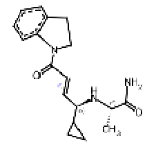 C[C@H](N[C@H](/C=C/C(=O)N1CCc2ccccc21)C1CC1)C(N)=O